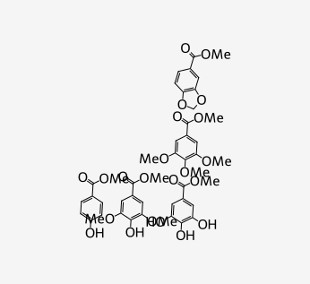 COC(=O)c1cc(O)c(O)c(O)c1.COC(=O)c1cc(OC)c(O)c(OC)c1.COC(=O)c1cc(OC)c(OC)c(OC)c1.COC(=O)c1ccc(O)cc1.COC(=O)c1ccc2c(c1)OCO2